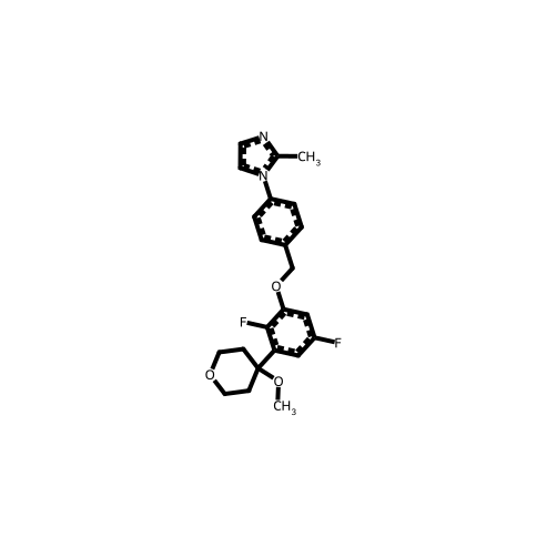 COC1(c2cc(F)cc(OCc3ccc(-n4ccnc4C)cc3)c2F)CCOCC1